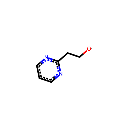 [O]CCc1ncccn1